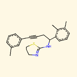 Cc1cccc(C#CCC(NC2=NCCS2)c2cccc(C)c2C)c1